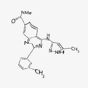 CNC(=O)c1ccc2c(Nc3cc(C)[nH]n3)nc(-c3cccc(C)c3)nc2c1